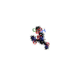 COc1cc(C(=O)NS(=O)(=O)c2ccccc2Cl)ccc1Cn1cc(C=CC(=O)N2CCCC2)c2ccc(C=CC(=O)N3CCCC3)cc21